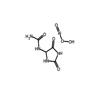 NC(=O)NC1NC(=O)NC1=O.[O]=[Al][O]O